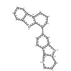 c1ccc2c(c1)oc1c(-c3ccc4c(c3)sc3ccccc34)cccc12